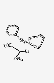 CCCCC(CC)C(=O)[O-].c1cc[c]([Sb+][c]2ccccc2)cc1